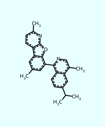 Cc1cc(-c2ncc(C)c3cc(C(C)C)ccc23)c2oc3nc(C)ccc3c2c1